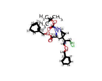 CC(C)(C)OC(=O)N[C@@H](CC1(/C(=C/OCc2ccccc2)CCl)CC1)C(=O)OCc1ccccc1